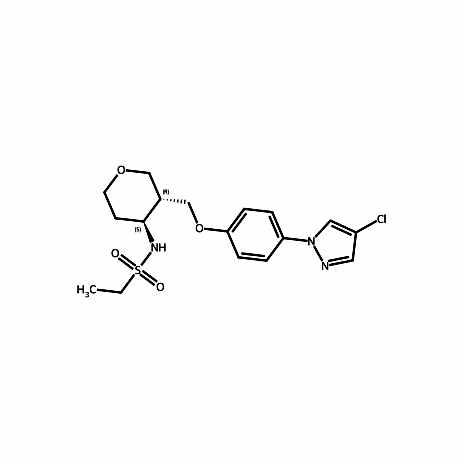 CCS(=O)(=O)N[C@H]1CCOC[C@@H]1COc1ccc(-n2cc(Cl)cn2)cc1